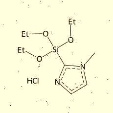 CCO[Si](OCC)(OCC)c1nccn1C.Cl